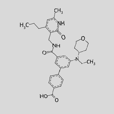 CCCc1cc(C)[nH]c(=O)c1CNC(=O)c1cc(-c2ccc(C(=O)O)cc2)cc(N(CC)C2CCOCC2)c1